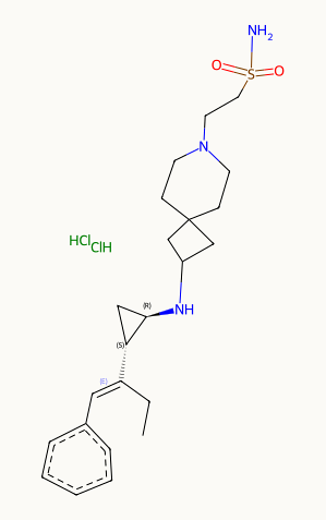 CC/C(=C\c1ccccc1)[C@@H]1C[C@H]1NC1CC2(CCN(CCS(N)(=O)=O)CC2)C1.Cl.Cl